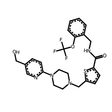 O=C(NCc1ccccc1OC(F)(F)F)c1ccc(CN2CCN(c3ccc(CO)cn3)CC2)s1